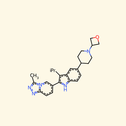 Cc1nnc2ccc(-c3[nH]c4ccc(C5CCN(C6COC6)CC5)cc4c3C(C)C)cn12